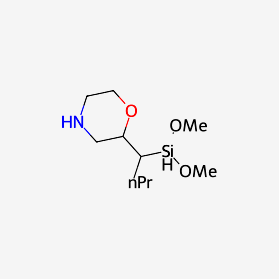 CCCC(C1CNCCO1)[SiH](OC)OC